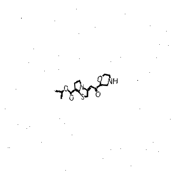 CC(C)OC(=O)C1=C2SC/C(=C\C(=O)C3CNCCO3)N2CC1